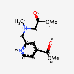 COC(=O)CN(C)Cc1cc(C(=O)OC)ccn1